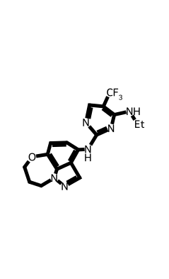 CCNc1nc(Nc2ccc3c4c2cnn4CCCO3)ncc1C(F)(F)F